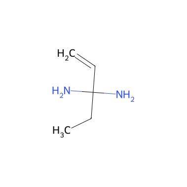 C=CC(N)(N)CC